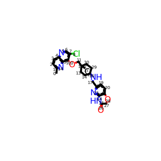 Cc1ccc2ncc(Cl)c(OCC34CCC(NCc5ccc6c(n5)NC(=O)CO6)(CC3)CC4)c2n1